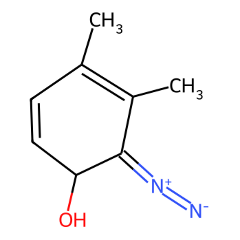 CC1=C(C)C(=[N+]=[N-])C(O)C=C1